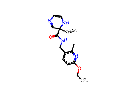 CC(=O)NC1(C(=O)NCc2ccc(OCC(F)(F)F)nc2C)C=NC=CN1